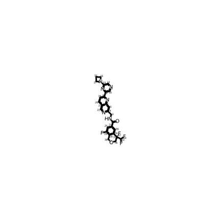 O=C(NCc1cc2nc(-c3cncc(N4CCC4)n3)ccc2cn1)c1cc(F)c2c(c1)[C@@](F)(C(F)F)COC2